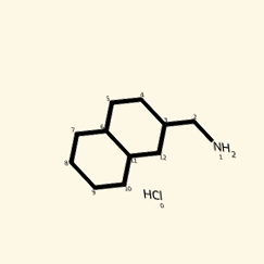 Cl.NCC1CCC2CCCCC2C1